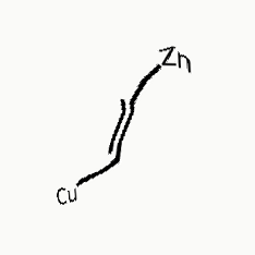 [Cu][CH]=[CH][Zn]